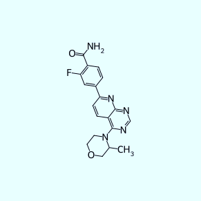 CC1COCCN1c1ncnc2nc(-c3ccc(C(N)=O)c(F)c3)ccc12